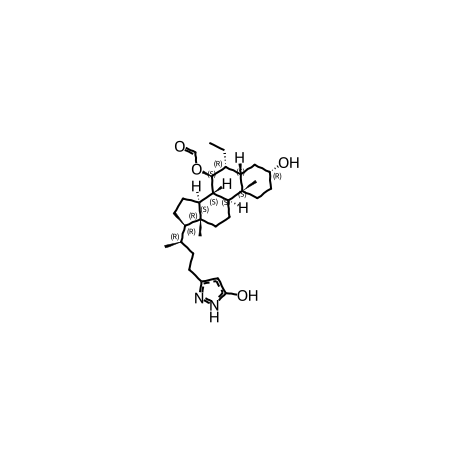 CC[C@H]1[C@H](OC=O)[C@@H]2[C@H](CC[C@]3(C)[C@@H]([C@H](C)CCc4cc(O)[nH]n4)CC[C@@H]23)[C@@]2(C)CC[C@@H](O)C[C@@H]12